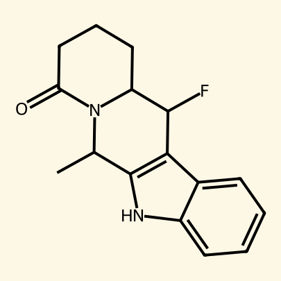 CC1c2[nH]c3ccccc3c2C(F)C2CCCC(=O)N12